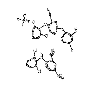 F[B-](F)(F)F.N#Cc1cc(Sc2ccc(F)cc2F)ccc1Nc1c(Cl)cccc1Cl.N#Cc1cc([N+]#N)ccc1Nc1c(Cl)cccc1Cl